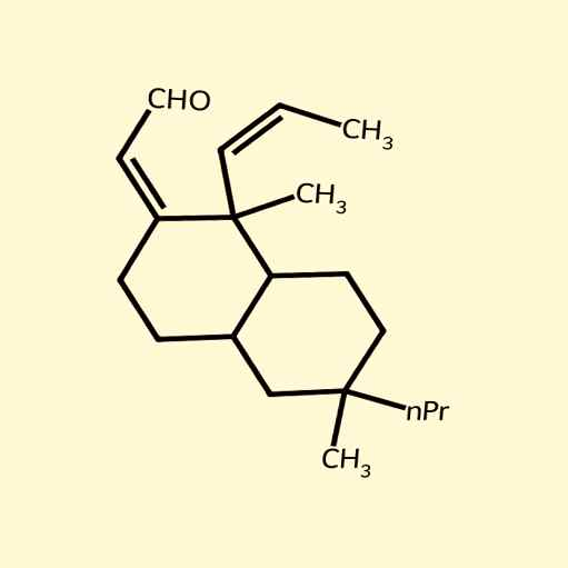 C/C=C\C1(C)/C(=C\C=O)CCC2CC(C)(CCC)CCC21